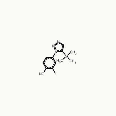 C[Si](C)(C)c1cnnn1-c1ccc(C#N)c(F)c1